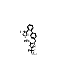 CCCCc1nc(C(F)(F)CCCC)nn1Cc1ccc(-c2ccccc2-c2nnn[nH]2)cc1